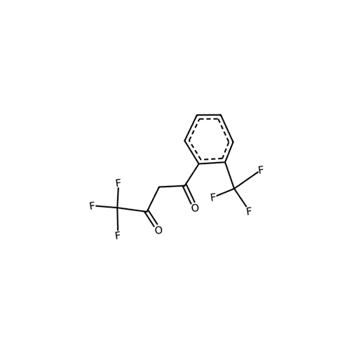 O=C(CC(=O)C(F)(F)F)c1ccccc1C(F)(F)F